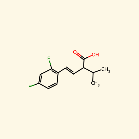 CC(C)C(C=Cc1ccc(F)cc1F)C(=O)O